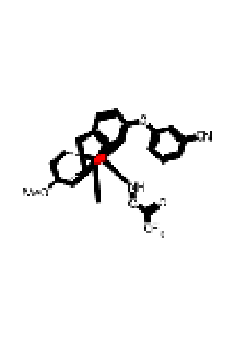 CO[C@H]1CC[C@]2(CC1)Cc1ccc(Oc3cccc(C#N)c3)cc1C21N=C(NOC(=O)C(F)(F)F)N(C)C1=O